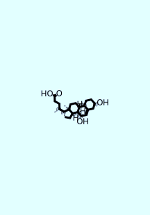 C[C@H](CCC(=O)O)[C@H]1CC[C@H]2[C@@H]3[C@@H](O)C=C4C[C@@H](O)CC[C@]4(C)[C@H]3CC[C@]12C